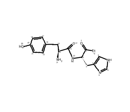 CCC(=O)[C@H](Cc1c[nH]cn1)NC(=O)[C@@H](N)Cc1ccc(O)cc1